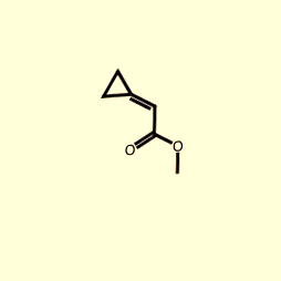 COC(=O)C=C1CC1